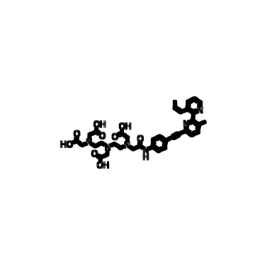 C/C=C\c1cccnc1-c1nc(C#Cc2ccc(NC(=O)CN(CCN(CCN(CC(=O)O)CC(=O)O)CC(=O)O)CC(=O)O)cc2)ccc1C